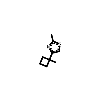 Cc1nc(C2(C)CCC2)cs1